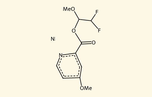 COc1ccnc(C(=O)OC(OC)C(F)F)c1.[N]